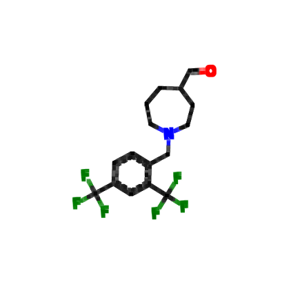 O=CC1CCCN(Cc2ccc(C(F)(F)F)cc2C(F)(F)F)CC1